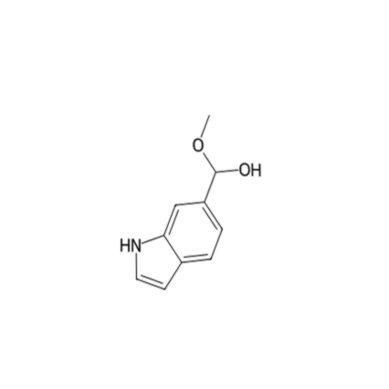 COC(O)c1ccc2cc[nH]c2c1